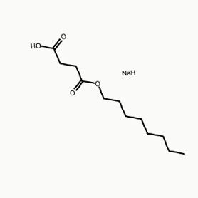 CCCCCCCCOC(=O)CCC(=O)O.[NaH]